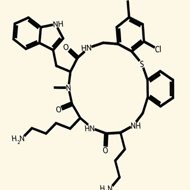 Cc1cc(Cl)c2c(c1)CNC(=O)C(Cc1c[nH]c3ccccc13)N(C)C(=O)C(CCCCN)NC(=O)C(CCCN)NCc1ccccc1S2